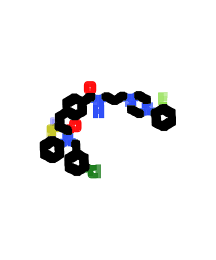 O=C(NCCCN1CCN(c2ccccc2F)CC1)c1ccc(/C=C2/Sc3ccccc3N(Cc3cccc(Cl)c3)C2=O)cc1